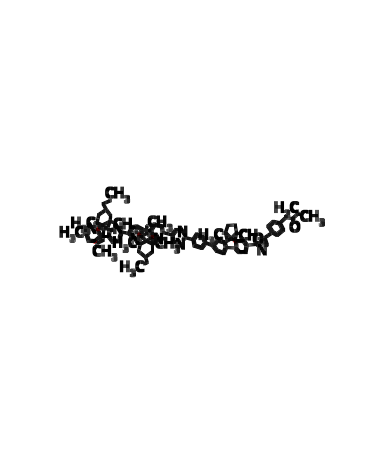 C=C(C)C(=O)Cc1ccc(-c2cnc(-c3ccc4c(c3)C3(c5cc(-c6ccc(-c7ncc(-c8ccc9c(n8)C8(c%10nc(-c%11ccc%12c(n%11)C%11(c%13nc(C)ccc%13-%12)C%12(C)CC(CCC)CC%11(C)CC(CCC)C%12)ccc%10-9)C9(C)CC(CC)CC8(C)CC(CC)C9)cn7)cc6)ccc5-4)C4(C)CCC3(C)CC4)o2)cc1